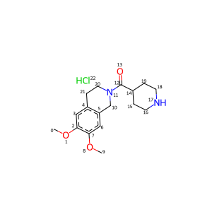 COc1cc2c(cc1OC)CN(C(=O)C1CCNCC1)CC2.Cl